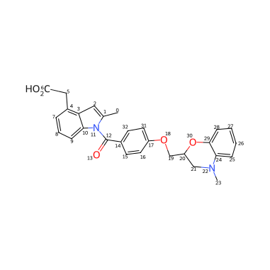 Cc1cc2c(CC(=O)O)cccc2n1C(=O)c1ccc(OCC2CN(C)c3ccccc3O2)cc1